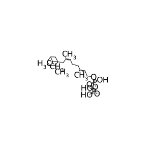 C/C(=C/CC/C(C)=C/COP(=O)(O)OP(=O)(O)O)CC12CC(CCC1C)C2(C)C